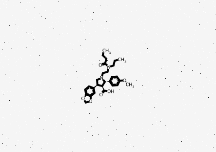 CCCC(=O)N(CCC)CCN1C[C@H](c2ccc3c(c2)OCO3)[C@H](C(=O)O)[C@H]1c1ccc(OC)cc1